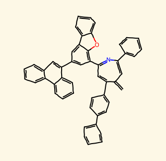 C=C1C=C(c2ccccc2)N=C(c2cc(-c3cc4ccccc4c4ccccc34)cc3c2oc2ccccc23)C=C1c1ccc(-c2ccccc2)cc1